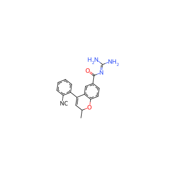 [C-]#[N+]c1ccccc1C1=CC(C)Oc2ccc(C(=O)N=C(N)N)cc21